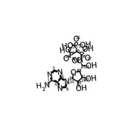 Nc1ncnc2c1ncn2[C@@H]1O[C@H](C(O)OP(=O)(O)C(P(=O)(O)O)P(=O)(O)O)[C@@H](O)[C@H]1O